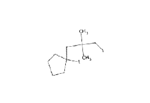 CC(C)(CI)CC1(I)CCCC1